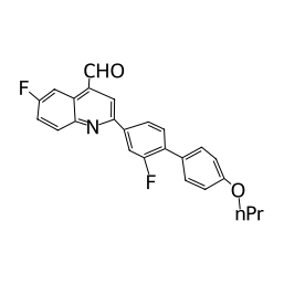 CCCOc1ccc(-c2ccc(-c3cc(C=O)c4cc(F)ccc4n3)cc2F)cc1